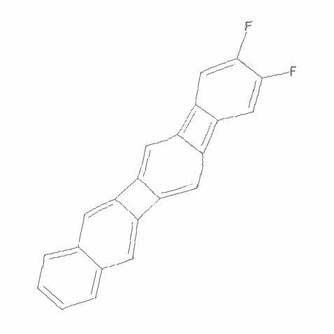 Fc1cc2c(cc1F)c1cc3c4cc5ccccc5cc4c3cc21